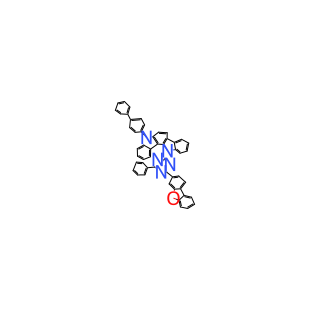 c1ccc(-c2ccc(-n3c4ccccc4c4c3ccc3c5ccccc5n(-c5nc(-c6ccccc6)nc(-c6ccc7c(c6)oc6ccccc67)n5)c34)cc2)cc1